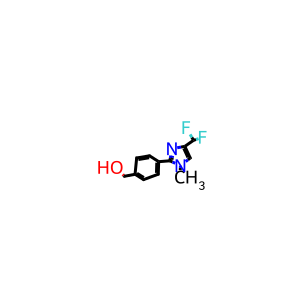 Cn1cc(C(F)F)nc1-c1ccc(CO)cc1